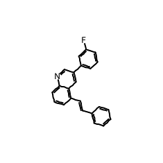 Fc1cccc(-c2cnc3cccc(C=Cc4ccccc4)c3c2)c1